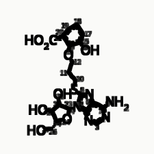 Nc1ncnc2c1nc(SCCCOc1c(O)cccc1C(=O)O)n2[C@@H]1O[C@H](CO)C(O)C1O